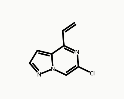 C=Cc1nc(Cl)cn2nccc12